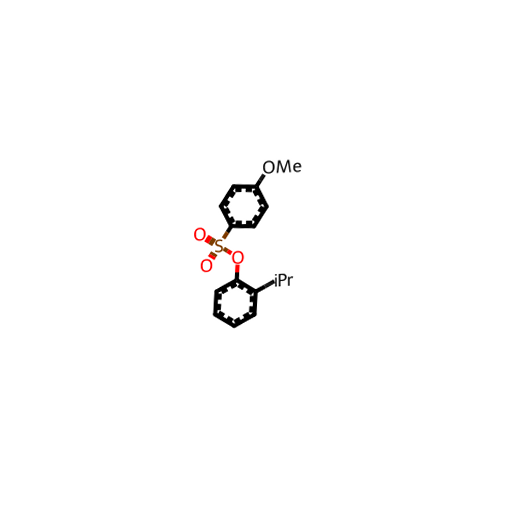 COc1ccc(S(=O)(=O)Oc2ccccc2C(C)C)cc1